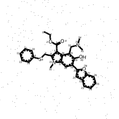 CCOC(=O)c1c(CSc2ccccc2)n(C)c2cc(-c3cc4ccccc4o3)c(O)c(CN(C)C)c12